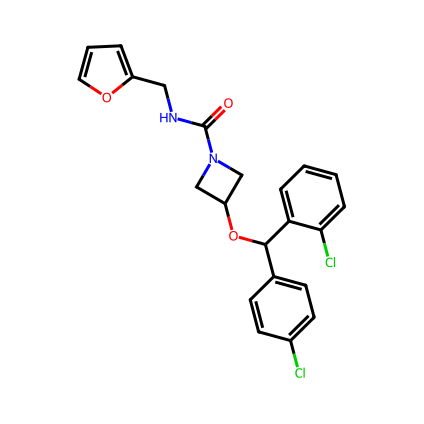 O=C(NCc1ccco1)N1CC(OC(c2ccc(Cl)cc2)c2ccccc2Cl)C1